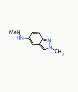 CNNc1ccc2nn(C)cc2c1